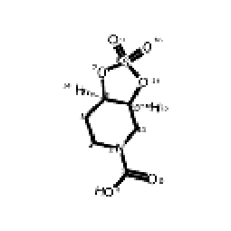 O=C(O)N1CC[C@H]2OS(=O)(=O)O[C@H]2C1